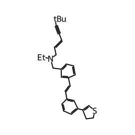 CCN(C/C=C/C#CC(C)(C)C)Cc1cccc(/C=C/c2cccc(C3=CSCC3)c2)c1